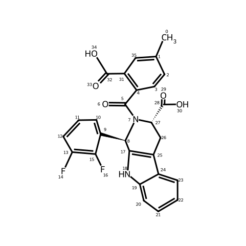 Cc1ccc(C(=O)N2[C@H](c3cccc(F)c3F)c3[nH]c4ccccc4c3C[C@H]2C(=O)O)c(C(=O)O)c1